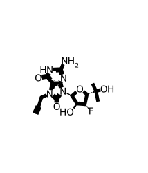 C#CCn1c(=O)n([C@@H]2O[C@H](C(C)(C)O)[C@H](F)[C@H]2O)c2nc(N)[nH]c(=O)c21